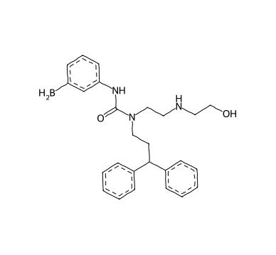 Bc1cccc(NC(=O)N(CCNCCO)CCC(c2ccccc2)c2ccccc2)c1